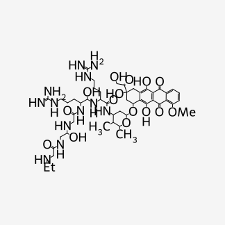 CCNCC(=O)NCC(O)NCC(=O)NC(CCCNC(=N)N)C(O)NC(CCCNC(=N)N)C(=O)NC1CC(OC2CC(O)(C(=O)CO)Cc3c(O)c4c(c(O)c32)C(=O)c2c(OC)cccc2C4=O)OC(C)C1C